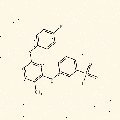 Cc1cnc(Nc2ccc(F)cc2)nc1Nc1cccc(S(=O)(=O)F)c1